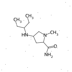 CCC(CC)NC1CC(C(N)=O)N(C)C1